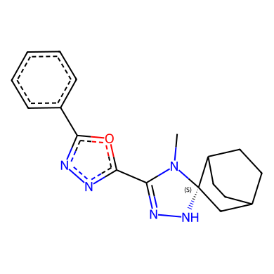 CN1C(c2nnc(-c3ccccc3)o2)=NN[C@]12CC1CCC2CC1